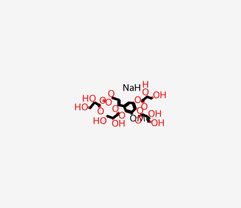 COc1c(OC(=O)C(O)CO)c(C=CC(=O)OOC(=O)C(O)CO)cc(OC(=O)C(O)CO)c1OC(=O)C(O)CO.[NaH]